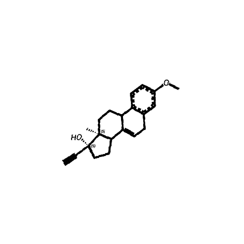 C#C[C@]1(O)CCC2C3=CCc4cc(OC)ccc4C3CC[C@@]21C